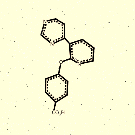 O=C(O)c1ccc(Oc2ncccc2-c2ccncn2)cc1